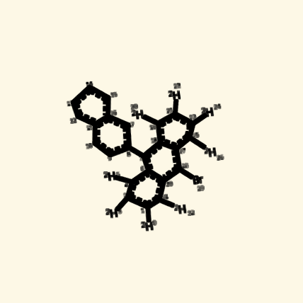 [2H]c1c([2H])c([2H])c2c(-c3ccc4ccccc4c3)c3c([2H])c([2H])c([2H])c([2H])c3c(Br)c2c1[2H]